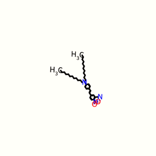 CCCCCCCCCCCCN(CCCCCCCCCCCC)c1ccc(C=Cc2ccc([N+](=O)[O-])c(C#N)c2)cc1